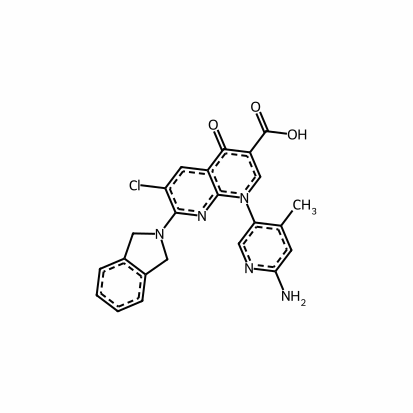 Cc1cc(N)ncc1-n1cc(C(=O)O)c(=O)c2cc(Cl)c(N3Cc4ccccc4C3)nc21